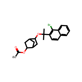 CCC(C)C(=O)OC1CC2CC1CC2OC(C)(C)c1ccc2ccccc2c1Br